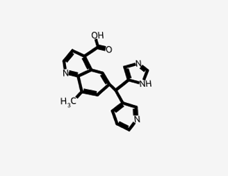 Cc1cc(C(c2cccnc2)c2cnc[nH]2)cc2c(C(=O)O)ccnc12